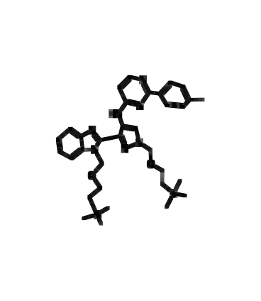 Cc1ccc(-c2nccc(Nc3cn(COCC[Si](C)(C)C)nc3-c3nc4ccccc4n3COCC[Si](C)(C)C)n2)cc1